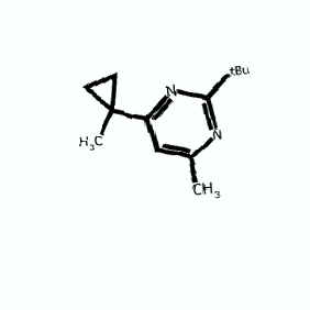 Cc1cc(C2(C)CC2)nc(C(C)(C)C)n1